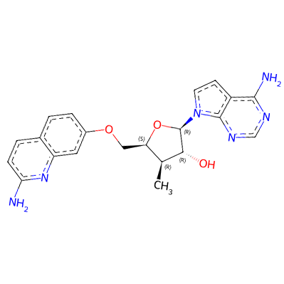 C[C@@H]1[C@@H](O)[C@H](n2ccc3c(N)ncnc32)O[C@@H]1COc1ccc2ccc(N)nc2c1